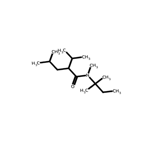 CCC(C)(C)N(C)C(=O)C(CC(C)C)C(C)C